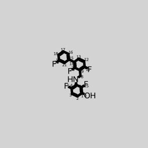 Oc1ccc(F)c(NCc2c(F)ccc(-c3cccc(F)c3)c2F)c1F